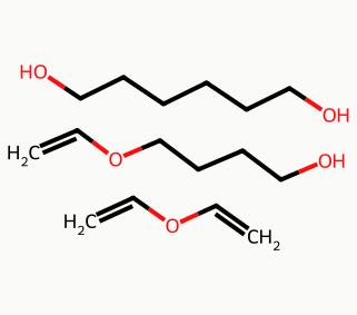 C=COC=C.C=COCCCCO.OCCCCCCO